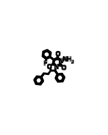 Nn1c(=O)c(-c2ccccc2F)c2n(c1=O)C(c1ccccc1)[C@@H](CCc1ccccc1)O2